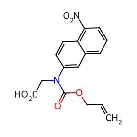 C=CCOC(=O)N(CC(=O)O)c1ccc2c([N+](=O)[O-])cccc2c1